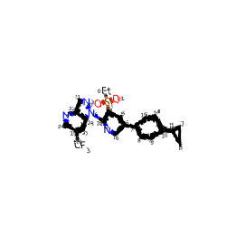 CCS(=O)(=O)c1cc(-c2ccc(C3CC3)cc2)cnc1-n1ncc2ncc(C(F)(F)F)cc21